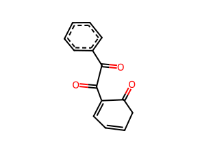 O=C1CC=CC=C1C(=O)C(=O)c1ccccc1